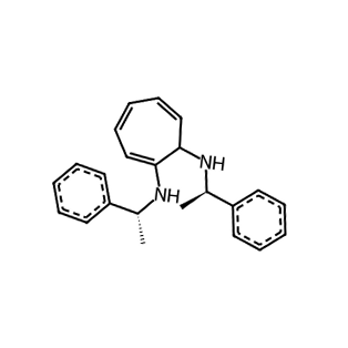 C[C@@H](NC1=CC=CC=CC1N[C@H](C)c1ccccc1)c1ccccc1